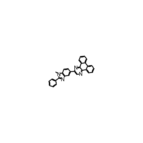 Cn1c(-c2ccccc2)nc2cc(-c3cnc4c5ccccc5c5ccccc5c4n3)ccc21